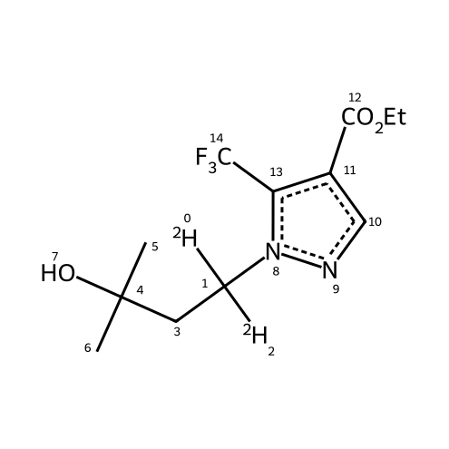 [2H]C([2H])(CC(C)(C)O)n1ncc(C(=O)OCC)c1C(F)(F)F